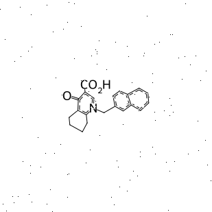 O=C(O)c1cn(Cc2ccc3ccccc3c2)c2c(c1=O)CCCC2